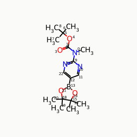 CN(C(=O)OC(C)(C)C)c1ncc(B2OC(C)(C)C(C)(C)O2)cn1